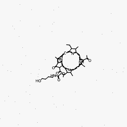 CCC1c2cc3[nH]c4c(c3C)C(=O)C(C(=O)OC)c4c3nc(cc4[nH]c(cc(n2)C1C)c(C(C)=O)c4C)C(C)C3CCC(=O)NCCCCO